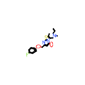 CCCN(C)Cc1c(C)sc2nc(COc3ccc(F)cc3)cc(=O)n12